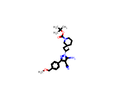 COCc1ccc(-c2nn([C@H]3C[C@]4(CCCN(C(=O)OC(C)(C)C)C4)C3)c(N)c2C#N)cc1